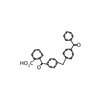 O=C(c1ccccc1)c1ccc(Cc2ccc(C(=O)c3ccccc3C(=O)O)cc2)cc1